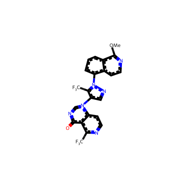 COc1nccc2c(-n3ncc(-n4cnc(=O)c5c(C(F)(F)F)nccc54)c3C(F)(F)F)cccc12